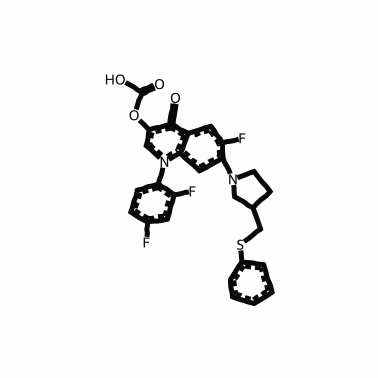 O=C(O)Oc1cn(-c2ccc(F)cc2F)c2cc(N3CCC(CSc4ccccc4)C3)c(F)cc2c1=O